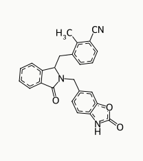 Cc1c(C#N)cccc1CC1c2ccccc2C(=O)N1Cc1ccc2[nH]c(=O)oc2c1